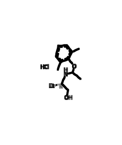 CC[C@@H](CO)NC(C)Oc1c(C)cccc1C.Cl